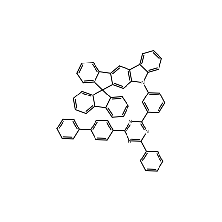 c1ccc(-c2ccc(-c3nc(-c4ccccc4)nc(-c4cccc(-n5c6ccccc6c6cc7c(cc65)C5(c6ccccc6-c6ccccc65)c5ccccc5-7)c4)n3)cc2)cc1